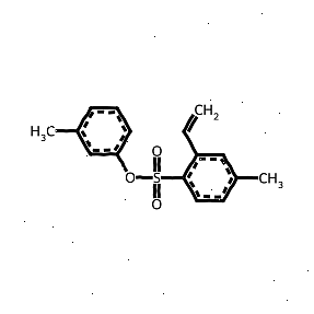 C=Cc1cc(C)ccc1S(=O)(=O)Oc1cccc(C)c1